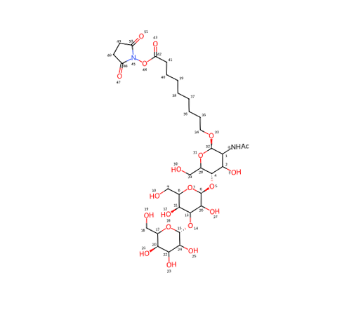 CC(=O)NC1C(O)[C@H](O[C@@H]2OC(CO)[C@H](O)C(O[C@H]3OC(CO)[C@H](O)C(O)C3O)C2O)C(CO)O[C@H]1OCCCCCCCCC(=O)ON1C(=O)CCC1=O